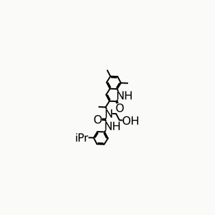 Cc1cc(C)c2[nH]c(=O)c(C(C)N(CCO)C(=O)Nc3cccc(C(C)C)c3)cc2c1